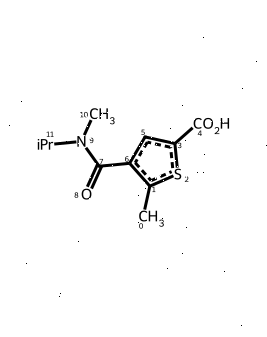 Cc1sc(C(=O)O)cc1C(=O)N(C)C(C)C